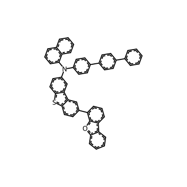 c1ccc(-c2ccc(-c3ccc(N(c4ccc5sc6ccc(-c7cccc8c7oc7ccccc78)cc6c5c4)c4cccc5ccccc45)cc3)cc2)cc1